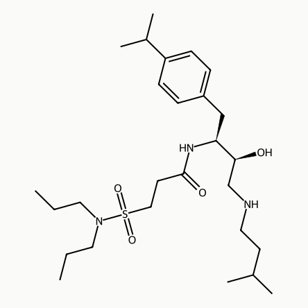 CCCN(CCC)S(=O)(=O)CCC(=O)N[C@@H](Cc1ccc(C(C)C)cc1)[C@@H](O)CNCCC(C)C